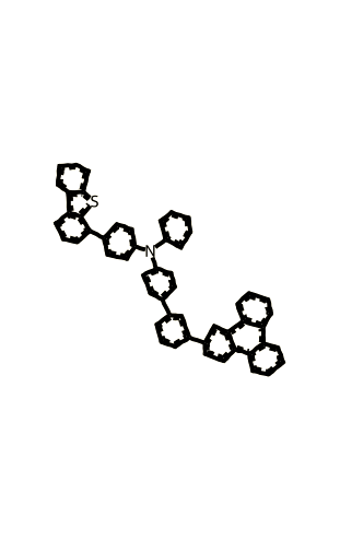 c1ccc(N(c2ccc(-c3cccc(-c4ccc5c6ccccc6c6ccccc6c5c4)c3)cc2)c2ccc(-c3cccc4c3sc3ccccc34)cc2)cc1